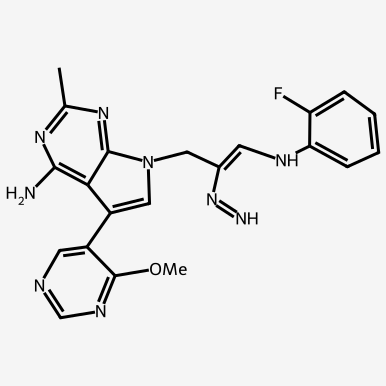 COc1ncncc1-c1cn(C/C(=C/Nc2ccccc2F)N=N)c2nc(C)nc(N)c12